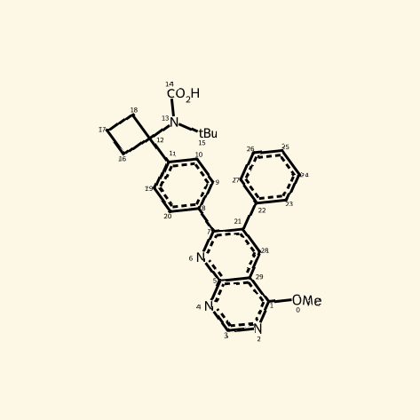 COc1ncnc2nc(-c3ccc(C4(N(C(=O)O)C(C)(C)C)CCC4)cc3)c(-c3ccccc3)cc12